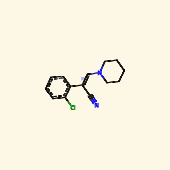 N#C/C(=C\N1CCCCC1)c1ccccc1Cl